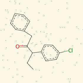 CCC(C(=O)Cc1ccccc1)c1ccc(Cl)cc1